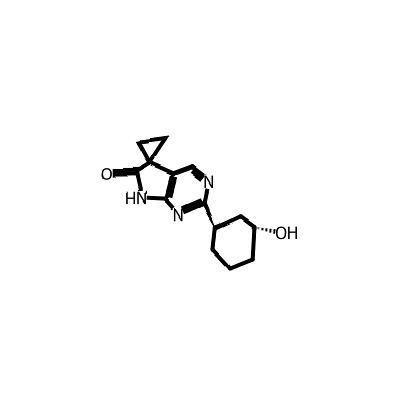 O=C1Nc2nc([C@@H]3CCC[C@@H](O)C3)ncc2C12CC2